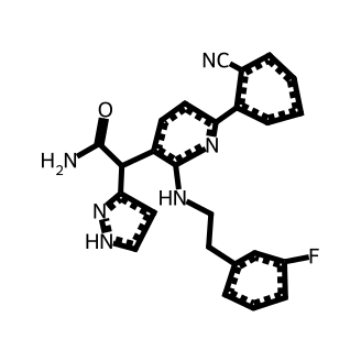 N#Cc1ccccc1-c1ccc(C(C(N)=O)c2cc[nH]n2)c(NCCc2cccc(F)c2)n1